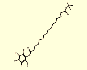 CCc1c(F)c(F)c(F)c(F)c1OC(=O)CCCCCCCCCCCCCCC(=O)OC(C)(C)C